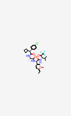 C=C(/C=C\C(=C/C)OC)[C@H](NC(=O)[C@H](C)NC(=O)[C@H](c1ccc(Cl)cc1)C1CCC1)C(=O)N[C@H](C(=O)C(F)(F)F)C(C)C